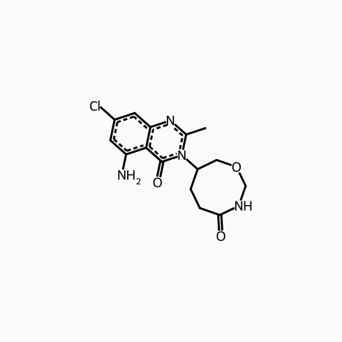 Cc1nc2cc(Cl)cc(N)c2c(=O)n1C1CCC(=O)NCOC1